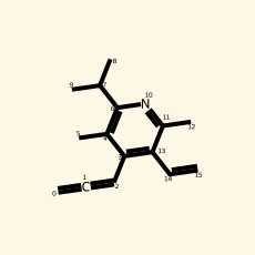 C=C=Cc1c(C)c(C(C)C)nc(C)c1C=C